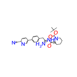 CC(C)(C)OC(=O)N1CCCC[C@H]1C(=O)N[C@H](N)Cc1ccc(-c2ccc(C#N)nc2)cc1